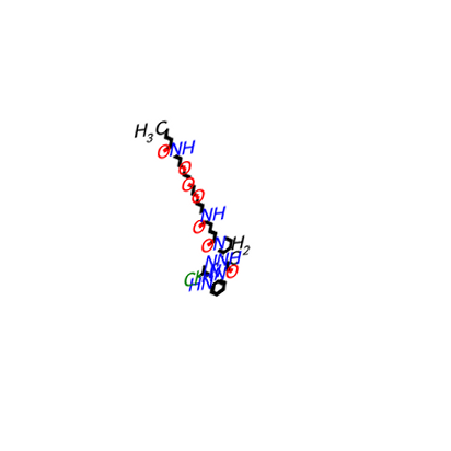 C=CC(=O)Nc1ccccc1Nc1nc(N[C@H]2CCCN(C(=O)CCCC(=O)NCCCOCCOCCOCCCNC(=O)CCCC)C2)ncc1Cl